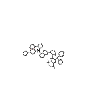 CC1(C)CCC(C)(C)c2cc3c(cc21)-c1c(-c2ccc4c(N(c5ccc(-c6ccccc6)cc5)c5ccccc5-c5ccccc5)cccc4c2)cccc1C3(c1ccccc1)c1ccccc1